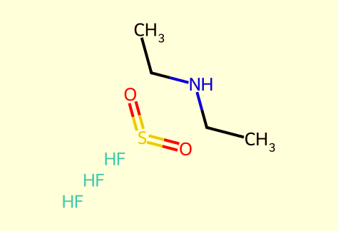 CCNCC.F.F.F.O=S=O